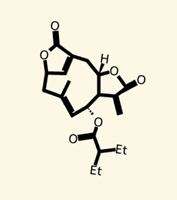 C=C1C(=O)O[C@H]2CC3=CC(C/C(C)=C/[C@@H](OC(=O)C(CC)CC)C12)OC3=O